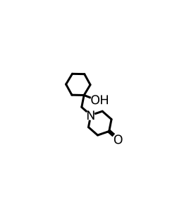 O=C1CCN(CC2(O)CCCCC2)CC1